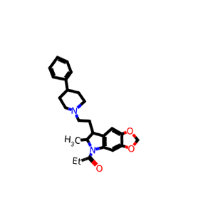 CCC(=O)N1c2cc3c(cc2C(CCN2CCC(c4ccccc4)CC2)C1C)OCO3